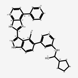 OC(Nc1cncc(-c2ccc3[nH]nc(-c4nc5c(-c6cccnc6)ccnc5[nH]4)c3c2F)c1)C1CCCC1